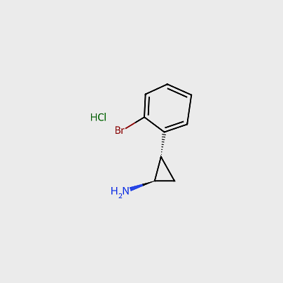 Cl.N[C@@H]1C[C@H]1c1ccccc1Br